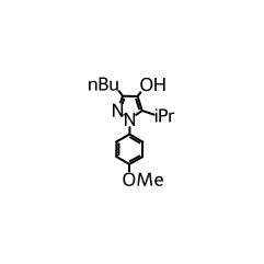 CCCCc1nn(-c2ccc(OC)cc2)c(C(C)C)c1O